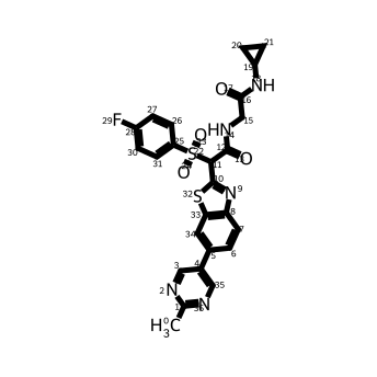 Cc1ncc(-c2ccc3nc(C(C(=O)NCC(=O)NC4CC4)S(=O)(=O)c4ccc(F)cc4)sc3c2)cn1